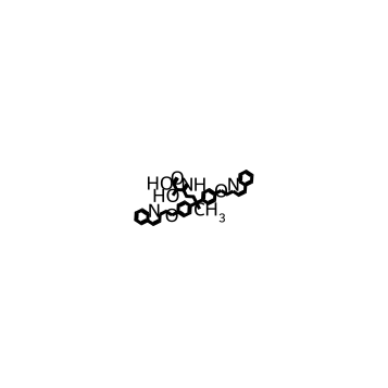 CC(CCC(=N)C(O)C(=O)O)(c1ccc(OCc2ccc3ccccc3n2)cc1)c1ccc(OCc2ccc3ccccc3n2)cc1